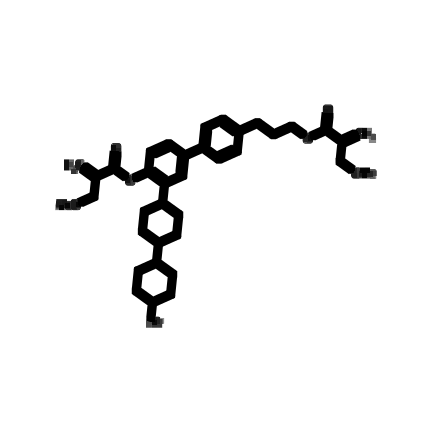 C=C(COC)C(=O)OCCCc1ccc(-c2ccc(OC(=O)C(=C)COC)c(C3CCC(C4CCC(CCC)CC4)CC3)c2)cc1